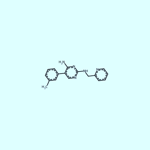 Cc1cccc(-c2cnc(NCc3ccccn3)nc2N)c1